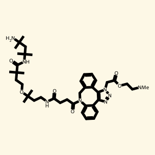 CNCCOC(=O)Cn1nnc2c1-c1ccccc1CN(C(=O)CCC(=O)NCCC(C)(C)OCCC(C)(C)C(=O)NC(C)(C)CC(C)(C)N)c1ccccc1-2